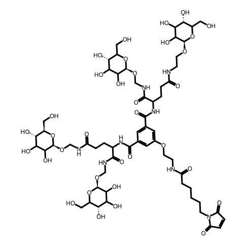 O=C(CCCCCN1C(=O)C=CC1=O)NCCOc1cc(C(=O)NC(CCC(=O)NCCO[C@@H]2OC(CO)[C@@H](O)C(O)C2O)C(=O)NCO[C@@H]2OC(CO)[C@@H](O)C(O)C2O)cc(C(=O)NC(CCC(=O)NCO[C@@H]2O[C@H](CO)[C@@H](O)C(O)C2O)C(=O)NCO[C@@H]2OC(CO)[C@@H](O)C(O)C2O)c1